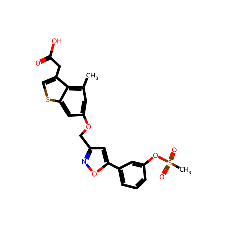 Cc1cc(OCc2cc(-c3cccc(OS(C)(=O)=O)c3)on2)cc2scc(CC(=O)O)c12